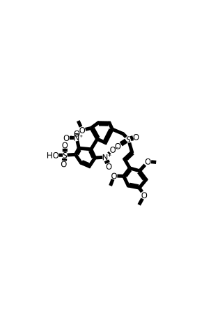 COc1cc(OC)c(C=CS(=O)(=O)Cc2ccc(OC)c(-c3c([N+](=O)[O-])ccc(S(=O)(=O)O)c3[N+](=O)[O-])c2)c(OC)c1